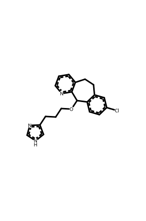 Clc1ccc2c(c1)CCc1cccnc1C2OCCCc1c[nH]cn1